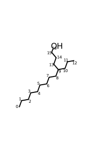 CCCCCCCCCC(CCC)CCCO